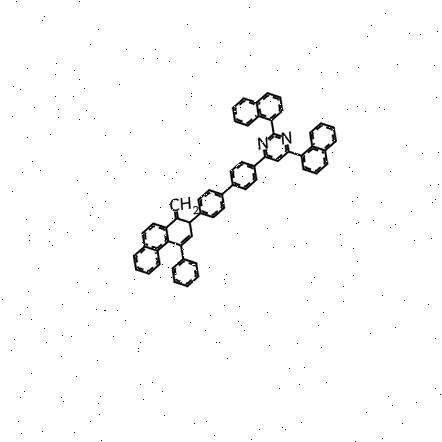 C=C1c2ccc3ccccc3c2C(c2ccccc2)=CC1c1ccc(-c2ccc(-c3cc(-c4cccc5ccccc45)nc(-c4cccc5ccccc45)n3)cc2)cc1